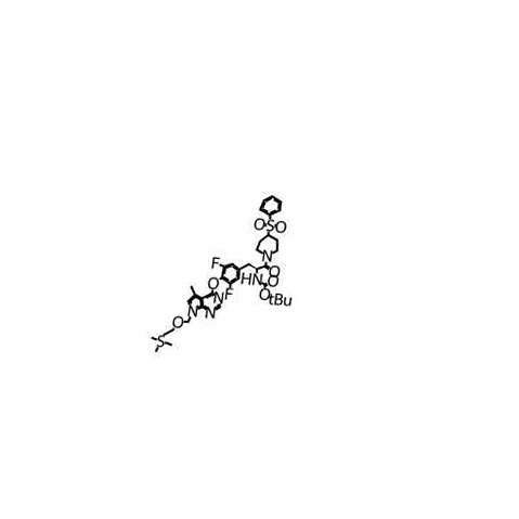 Cc1cn(COCCS(C)(C)C)c2ncnc(Oc3c(F)cc(C[C@H](NC(=O)OC(C)(C)C)C(=O)N4CCC(S(=O)(=O)c5ccccc5)CC4)cc3F)c12